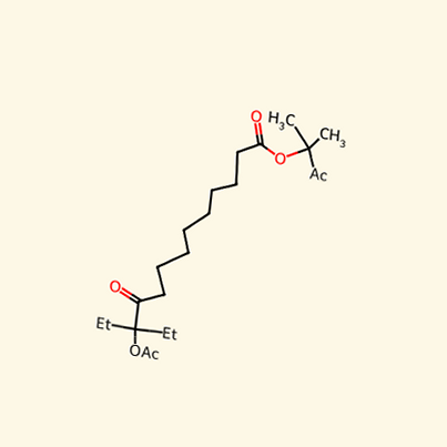 CCC(CC)(OC(C)=O)C(=O)CCCCCCCCC(=O)OC(C)(C)C(C)=O